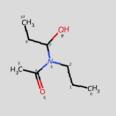 CCCN(C(C)=O)C(O)CC